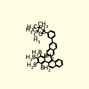 Bc1c(B)c(B)c(-c2ccc3ccccc3c2-c2ccc3cc(-c4cccc(B5OC(C)(C)C(C)(C)O5)c4)ccc3c2)c(B)c1B